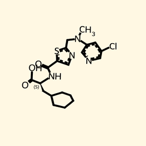 CN(Cc1ncc(C(=O)N[C@@H](CC2CCCCC2)C(=O)O)s1)c1cncc(Cl)c1